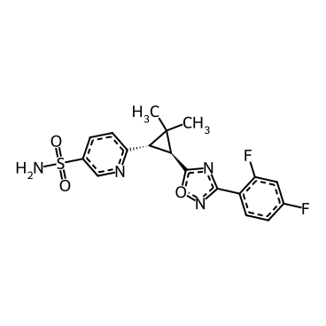 CC1(C)[C@@H](c2ccc(S(N)(=O)=O)cn2)[C@@H]1c1nc(-c2ccc(F)cc2F)no1